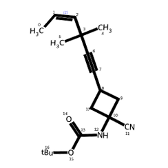 C/C=C\C(C)(C)C#CC1CC(C#N)(NC(=O)OC(C)(C)C)C1